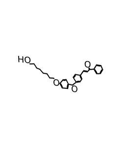 O=C(C=Cc1ccc(C(=O)c2ccc(OCCCCCCCCO)cc2)cc1)c1ccccc1